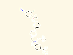 N#Cc1ccc(C2(Oc3cccc(C4CCN(Cc5nc6ccc(C(=O)O)cc6n5C[C@@H]5CCO5)CC4)n3)CC2)c(F)c1